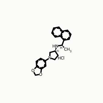 C[C@@H](N[C@H]1CCN(c2ccc3c(c2)OCO3)C1)c1cccc2ccccc12.Cl